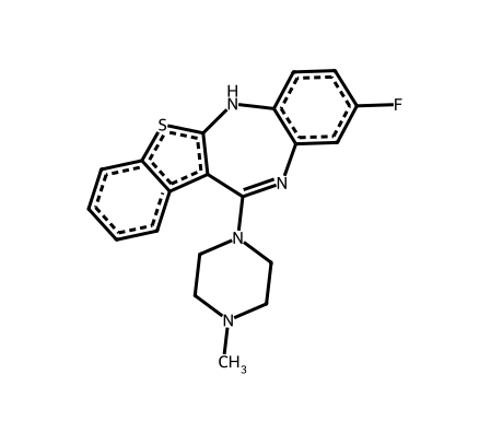 CN1CCN(C2=Nc3cc(F)ccc3Nc3sc4ccccc4c32)CC1